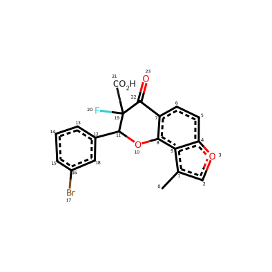 Cc1coc2ccc3c(c12)OC(c1cccc(Br)c1)C(F)(C(=O)O)C3=O